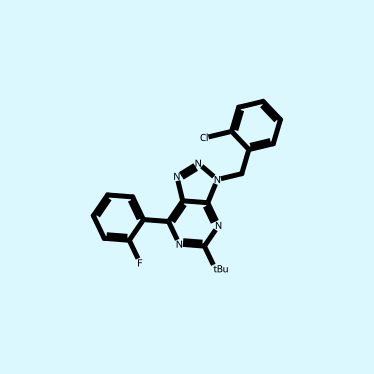 CC(C)(C)c1nc(-c2ccccc2F)c2nnn(Cc3ccccc3Cl)c2n1